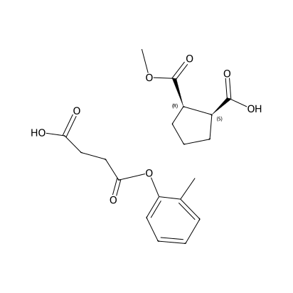 COC(=O)[C@@H]1CCC[C@@H]1C(=O)O.Cc1ccccc1OC(=O)CCC(=O)O